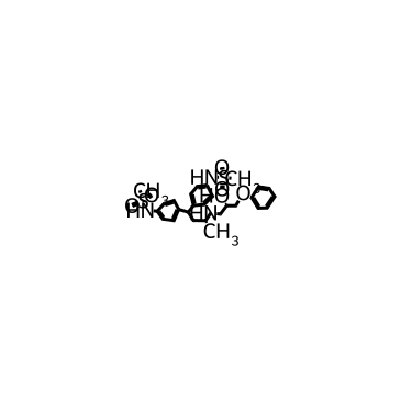 C[C@@H](CC(c1ccc(NS(C)(=O)=O)cc1)c1ccc(NS(C)(=O)=O)cc1)NC[C@H](O)COc1ccccc1